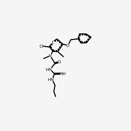 CCCNC(=N)NC(=O)N(C)c1c(Cl)ccc(OCc2ccccc2)c1C